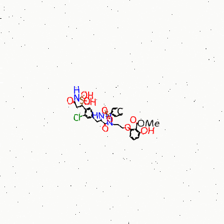 COC(=O)c1c(O)cccc1OCCCNC(=O)C(Cc1ccc(C2CC(=O)NS2(O)O)c(Cl)c1)NS(=O)(=O)c1ccccc1